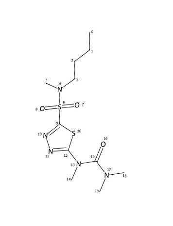 CCCCN(C)S(=O)(=O)c1nnc(N(C)C(=O)N(C)C)s1